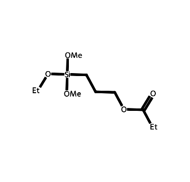 CCO[Si](CCCOC(=O)CC)(OC)OC